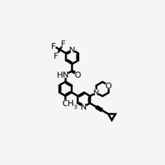 Cc1ccc(NC(=O)c2ccnc(C(F)(F)F)c2)cc1-c1cnc(C#CC2CC2)c(N2CCOCC2)c1